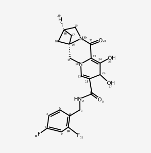 O=C(NCc1ccc(F)cc1F)C1=CN2C[C@]34C[C@H](CN3C(=O)C2=C(O)C1O)C4